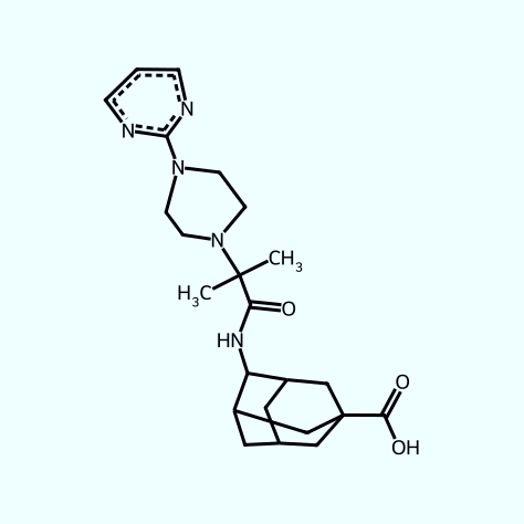 CC(C)(C(=O)NC1C2CC3CC1CC(C(=O)O)(C3)C2)N1CCN(c2ncccn2)CC1